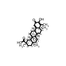 CC1=C(O)C(=O)C=C2[C@@H]3CC[C@@]4(C)[C@@H]5C[C@](C)(C(=O)O)CC[C@]5(C)CC[C@]4(C)[C@H]3CC[C@@]21C